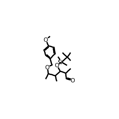 COc1ccc(COC(C)C(C)C(O[Si](C)(C)C(C)(C)C)C(C)C=O)cc1